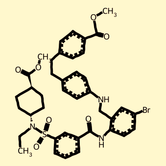 CCN([C@H]1CC[C@H](C(=O)OC)CC1)S(=O)(=O)c1cccc(C(=O)Nc2ccc(Br)cc2CNc2ccc(CCc3ccc(C(=O)OC)cc3)cc2)c1